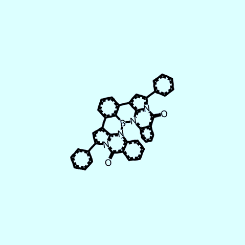 O=c1c2ccccc2n2c3c(cc(-c4ccccc4)n13)-c1cccc3c1B2n1c2ccccc2c(=O)n2c(-c4ccccc4)cc-3c12